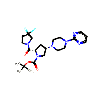 CC(C)(C)OC(=O)N1C[C@@H](N2CCN(c3ncccn3)CC2)C[C@H]1C(=O)N1CCC(F)(F)C1